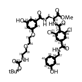 COC(=O)[C@H](CNC(=O)c1cc(O)cc(OCCOCCNC(=O)OC(C)(C)C)c1)NC(=O)c1c(Cl)cc(C(=O)NCc2cccc(O)c2)cc1Cl